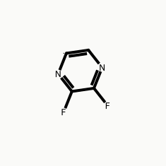 Fc1n[c]cnc1F